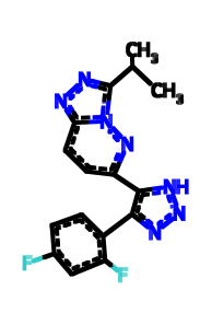 CC(C)c1nnc2ccc(-c3[nH]nnc3-c3ccc(F)cc3F)nn12